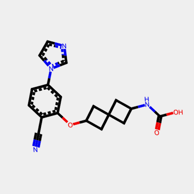 N#Cc1ccc(-n2ccnc2)cc1OC1CC2(CC(NC(=O)O)C2)C1